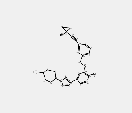 CC1CCC(n2cc(-c3cnc(N)c(OCc4cccc(C#CC5(O)CC5)c4)c3)cn2)CC1